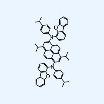 CC(C)c1ccc(N(c2cccc3c2OC2C=CC=CC32)c2cc(C(C)C)c3ccc4c(N(c5ccc(C(C)C)cc5)c5cccc6c5oc5ccccc56)cc(C(C)C)c5ccc2c3c54)cc1